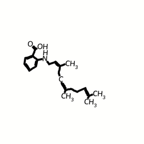 CC(C)=CCCC(C)=CCCC(C)=CCNc1ccccc1C(=O)O